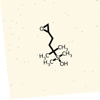 CC(C)(CCC1CO1)[Si](C)(C)O